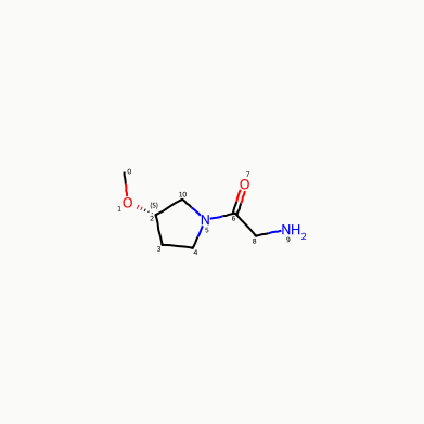 CO[C@H]1CCN(C(=O)CN)C1